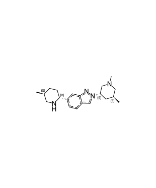 C[C@H]1CC[C@H](c2ccc3cn([C@H]4C[C@H](C)CN(C)C4)nc3c2)NC1